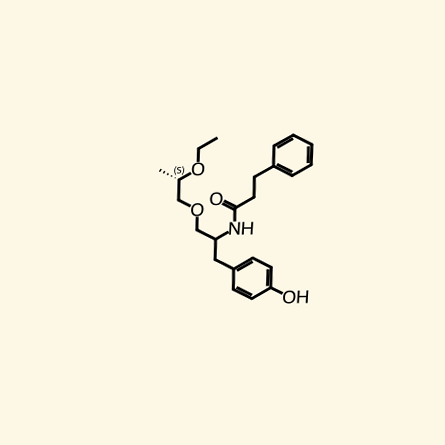 CCO[C@@H](C)COCC(Cc1ccc(O)cc1)NC(=O)CCc1ccccc1